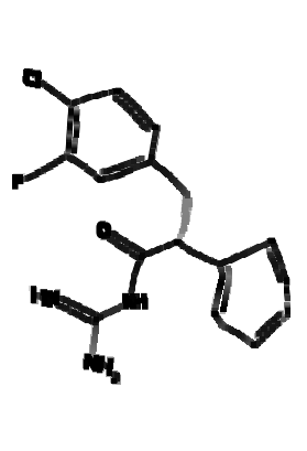 N=C(N)NC(=O)[C@H](Cc1ccc(Cl)c(F)c1)c1ccccc1